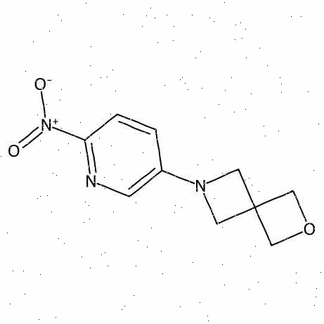 O=[N+]([O-])c1ccc(N2CC3(COC3)C2)cn1